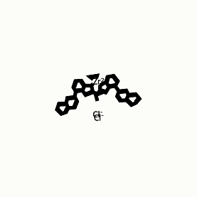 CCC1=Cc2c(-c3ccc4ccccc4c3)cccc2[CH]1[Zr+2]1([CH]2C(CC)=Cc3c(-c4ccc5ccccc5c4)cccc32)[CH2][CH2]1.[Cl-].[Cl-]